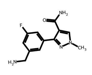 Cn1cc(C(N)=O)c(-c2cc(F)cc(CN)c2)n1